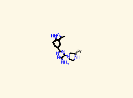 Cc1n[nH]c2ccc(-c3nnc(N)c(N4CCN[C@H](C(C)C)C4)n3)cc12